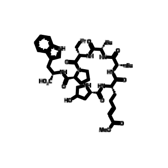 CCCC[C@H](NC(=O)[C@H](CC/C=C/C(=O)OC)NC(=O)[C@@H]1CC(O)CN1)C(=O)N[C@H](C(=O)N[C@@H](CC(C)C)C(=O)N1CCC[C@H]1C(=O)N[C@@H](Cc1c[nH]c2ccccc12)C(=O)O)C(C)CC